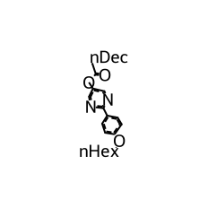 CCCCCCCCCCCC(=O)Oc1cnc(-c2ccc(OCCCCCC)cc2)nc1